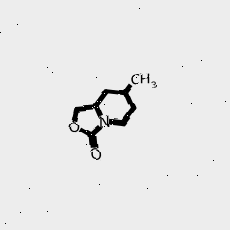 CC1CCN2C(=O)OCC2C1